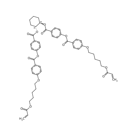 C=CC(=O)OCCCCCOc1ccc(C(=O)Oc2ccc(C(=O)O[C@@H]3CCCC[C@H]3OC(=O)c3ccc(OC(=O)c4ccc(OCCCCCOC(=O)C=C)cc4)cc3)cc2)cc1